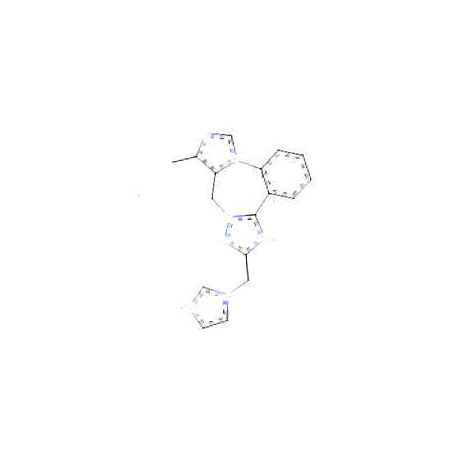 Cc1ncn2c1Cn1nc(Cn3ccnc3)nc1-c1ccccc1-2.Cl